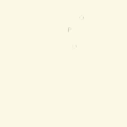 CCC(C)CCOP=O